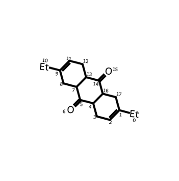 CCC1=CCC2C(=O)C3CC(CC)=CCC3C(=O)C2C1